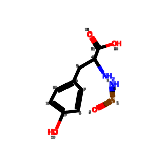 N=S=O.NC(Cc1ccc(O)cc1)C(=O)O